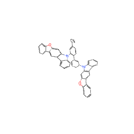 N#Cc1ccc(C2=CC(n3c4ccccc4c4cc5c(cc43)oc3ccccc35)CC=C2)c(N2c3ccccc3C3C=c4c(oc5ccccc45)=CC32)c1